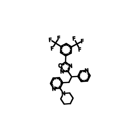 FC(F)(F)c1cc(-c2nc(C(Cc3cccnc3N3CCCCC3)c3cccnc3)no2)cc(C(F)(F)F)c1